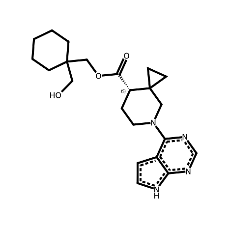 O=C(OCC1(CO)CCCCC1)[C@H]1CCN(c2ncnc3[nH]ccc23)CC12CC2